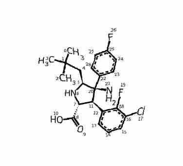 CC(C)(C)C[C@@H]1N[C@@H](C(=O)O)[C@H](c2cccc(Cl)c2F)[C@@]1(N)c1ccc(F)cc1